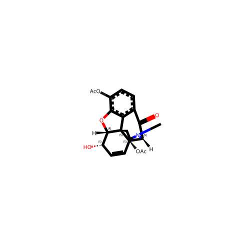 CC(=O)Oc1ccc2c3c1O[C@H]1[C@@H](O)C=C[C@@]4(OC(C)=O)[C@@H](C2=O)N(C)CC[C@]314